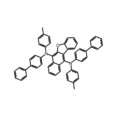 Cc1ccc(N(c2ccc(-c3ccccc3)cc2)c2c3ccccc3c(N(c3ccc(C)cc3)c3ccc(-c4ccccc4)cc3)c3c2oc2ccccc23)cc1